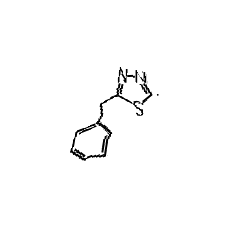 [c]1nnc(Cc2ccccc2)s1